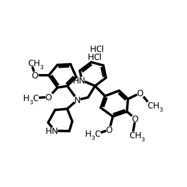 COc1cc(C2(CN(c3cccc(OC)c3OC)C3CCNCC3)C=CC=CN2)cc(OC)c1OC.Cl.Cl